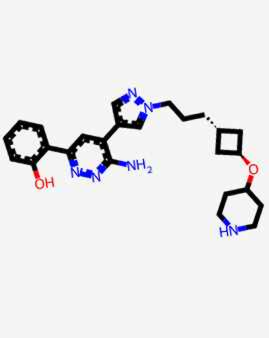 Nc1nnc(-c2ccccc2O)cc1-c1cnn(CCC[C@H]2C[C@H](OC3CCNCC3)C2)c1